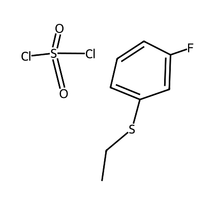 CCSc1cccc(F)c1.O=S(=O)(Cl)Cl